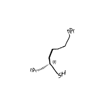 CCCCC[C@H](S)CCC